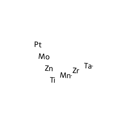 [Mn].[Mo].[Pt].[Ta].[Ti].[Zn].[Zr]